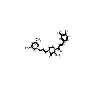 CC1C(=O)N(CCCN2C[C@@H](C)C[C@H](O)C2)CCN1C(=O)/C=C/c1ccc(Cl)c(Cl)c1